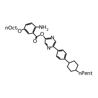 CCCCCCCCOc1ccc(N)c(C(=O)Oc2cnc(-c3ccc(C4CCC(CCCCC)CC4)cc3)cn2)c1